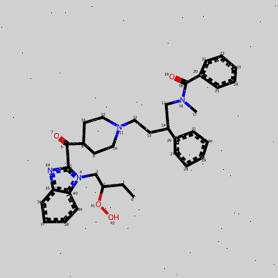 CCC(Cn1c(C(=O)C2CCN(CCC(CN(C)C(=O)c3ccccc3)c3ccccc3)CC2)nc2ccccc21)OO